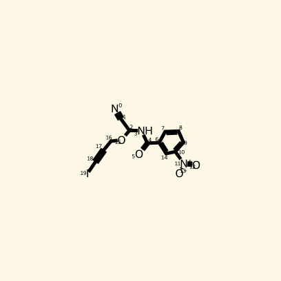 N#CC(NC(=O)c1cccc([N+](=O)[O-])c1)OCC#CI